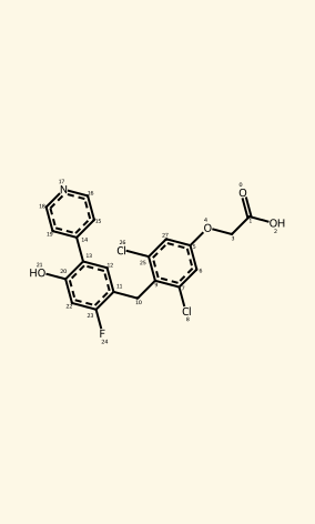 O=C(O)COc1cc(Cl)c(Cc2cc(-c3ccncc3)c(O)cc2F)c(Cl)c1